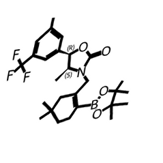 Cc1cc([C@H]2OC(=O)N(CC3=C(B4OC(C)(C)C(C)(C)O4)CCC(C)(C)C3)[C@H]2C)cc(C(F)(F)F)c1